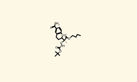 CCCCOC(=O)[C@@](C)(ONC(=O)OC(C)(C)C)C1CCc2cc(C(N)=S)ccc2O1